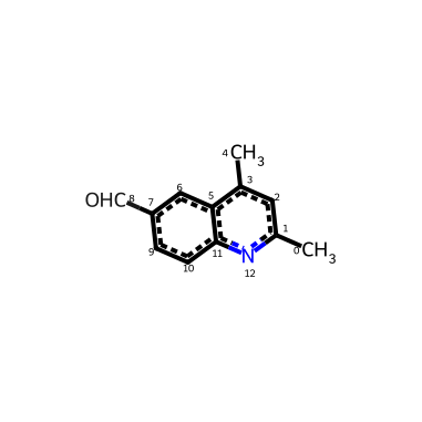 Cc1cc(C)c2cc(C=O)ccc2n1